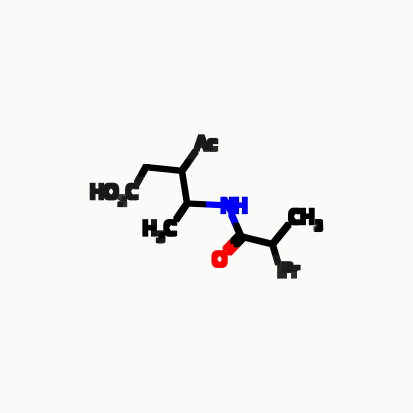 CC(=O)C(CC(=O)O)C(C)NC(=O)C(C)C(C)C